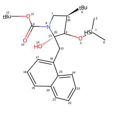 C[SiH](C)OC1[C@H](C(C)(C)C)CN(C(=O)OC(C)(C)C)[C@]1(O)Cc1cccc2ccccc12